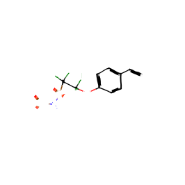 C=Cc1ccc(OC(F)(F)C(F)(F)S(=O)(=O)N([SH](=O)=O)C(F)(F)F)cc1